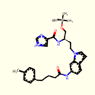 Cc1ccc(CCCC(=O)Nc2ccc3ccn(CC[C@H](CO[Si](C)(C)C(C)(C)C)NC(=O)c4c[nH]cn4)c3c2)cc1